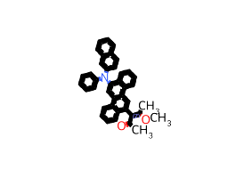 CO/C(C)=C(\C(C)=O)c1cc2c3ccccc3c(N(c3ccccc3)c3ccc4ccccc4c3)cc2c2ccccc12